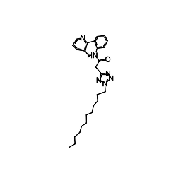 CCCCCCCCCCCCn1nnc(CC(=O)Nc2ccccc2-c2ncccc2C)n1